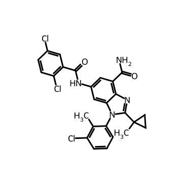 Cc1c(Cl)cccc1-n1c(C2(C)CC2)nc2c(C(N)=O)cc(NC(=O)c3cc(Cl)ccc3Cl)cc21